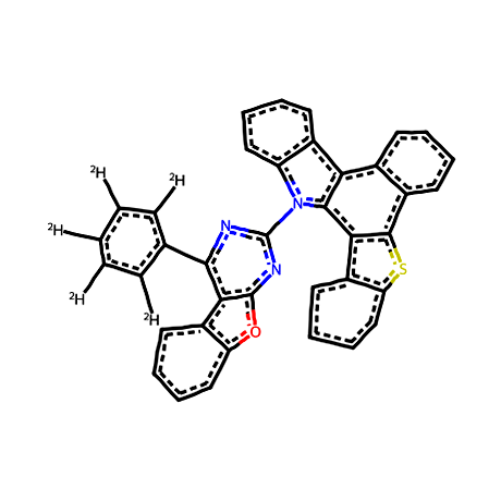 [2H]c1c([2H])c([2H])c(-c2nc(-n3c4ccccc4c4c5ccccc5c5sc6ccccc6c5c43)nc3oc4ccccc4c23)c([2H])c1[2H]